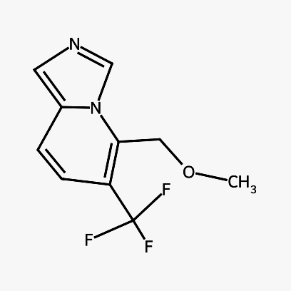 COCc1c(C(F)(F)F)ccc2cncn12